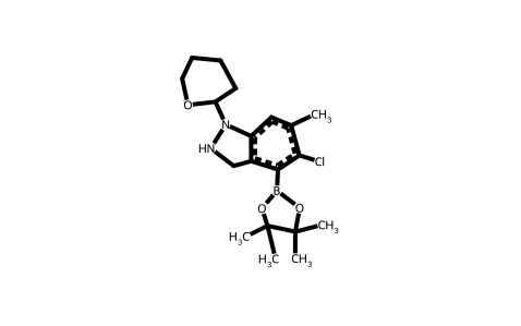 Cc1cc2c(c(B3OC(C)(C)C(C)(C)O3)c1Cl)CNN2C1CCCCO1